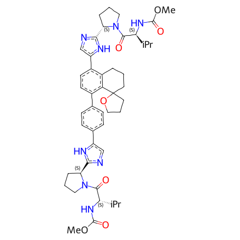 COC(=O)N[C@H](C(=O)N1CCC[C@H]1c1ncc(-c2ccc(-c3ccc(-c4cnc([C@@H]5CCCN5C(=O)[C@@H](NC(=O)OC)C(C)C)[nH]4)c4c3C3(CCCO3)CCC4)cc2)[nH]1)C(C)C